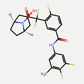 Cc1cc(NC(=O)c2ccc(F)c(C(F)(F)C(=O)N3[C@@H]4CC[C@H]3C[C@@H](O)C4)c2)cc(F)c1F